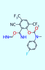 CN(C(=O)Oc1c(C(F)(F)F)cc(C(F)(F)F)c(C#N)c1C(=N)OC=N)c1ccc(F)cc1